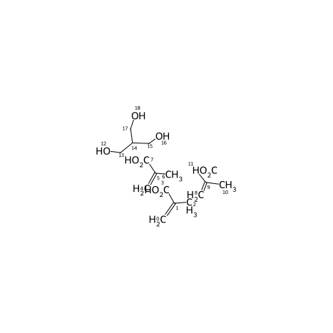 C=C(C)C(=O)O.C=C(C)C(=O)O.C=C(C)C(=O)O.OCC(CO)CO